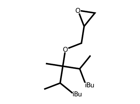 CCC(C)C(C)C(C)(OCC1CO1)C(C)C(C)CC